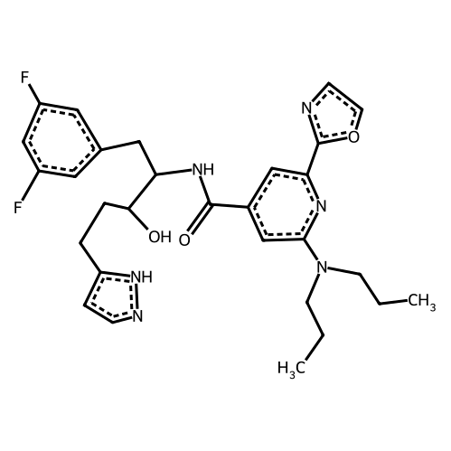 CCCN(CCC)c1cc(C(=O)NC(Cc2cc(F)cc(F)c2)C(O)CCc2ccn[nH]2)cc(-c2ncco2)n1